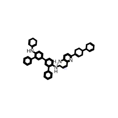 Nc1ccc(C2=CCC(C3C=CC=CC3)CC2)nc1/C=C\CNc1ccc(-c2ccc(NC3=CCCC=C3)c(-c3ccccc3)c2)cc1-c1ccccc1